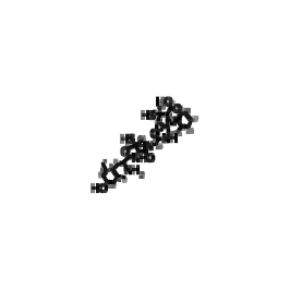 Cc1cc(O)cc(C)c1C[C@H](N)C(=O)N[C@@H](C(=O)NCC(=O)N[C@@H](Cc1ccccc1)C(=O)N[C@H](C(=O)O)C(C)(C)S)C(C)(C)S